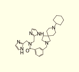 O=C(c1cccc(CN2CCC3(CCN(C4CCCCC4)CC3)C2)c1)N(Cc1ncc[nH]1)Cc1ncc[nH]1